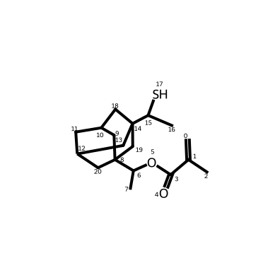 C=C(C)C(=O)OC(C)C12CC3CC(CC(C(C)S)(C3)C1)C2